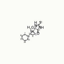 CC1(c2ccc(-c3ccccc3)s2)NC(=S)NC1=O